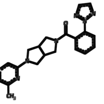 Cc1cncc(N2CC3CN(C(=O)c4ccccc4-n4nccn4)CC3C2)n1